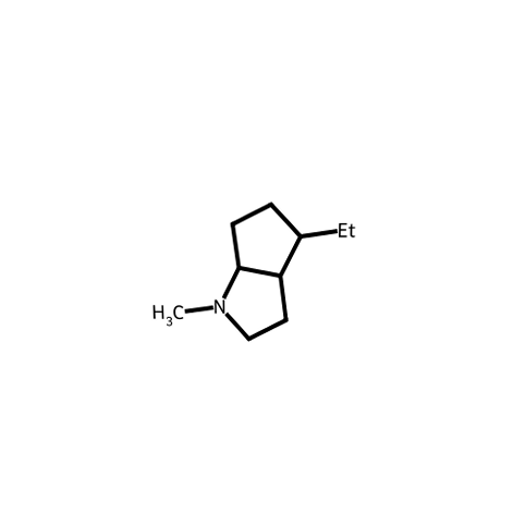 CCC1CCC2C1CCN2C